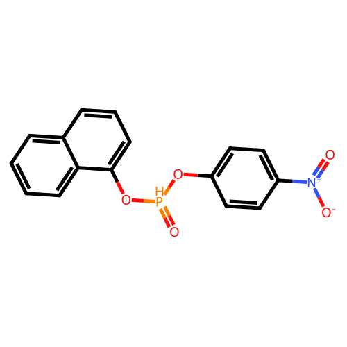 O=[N+]([O-])c1ccc(O[PH](=O)Oc2cccc3ccccc23)cc1